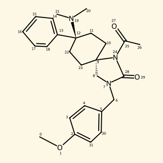 COc1ccc(CN2C[C@]3(CC[C@](c4ccccc4)(N(C)C)CC3)N(C(C)=O)C2=O)cc1